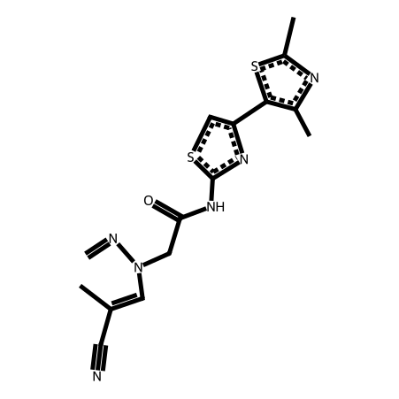 C=NN(/C=C(\C)C#N)CC(=O)Nc1nc(-c2sc(C)nc2C)cs1